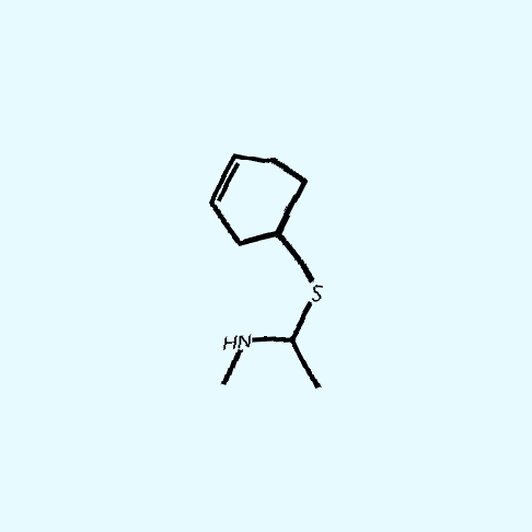 CNC(C)SC1CC=CCC1